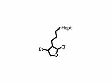 CCCCCCCCCCC1C(CC)COC1Cl